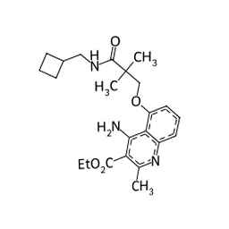 CCOC(=O)c1c(C)nc2cccc(OCC(C)(C)C(=O)NCC3CCC3)c2c1N